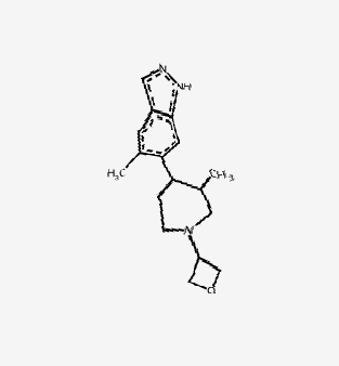 Cc1cc2cn[nH]c2cc1C1CCN(C2COC2)CC1C